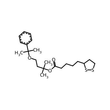 CC(C)(CCOC(C)(C)c1ccccc1)OC(=O)CCCCC1CCSS1